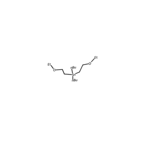 CCC[CH2][Sn]([CH2]CCC)([CH2]COCC)[CH2]COCC